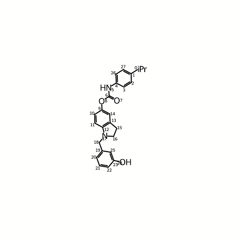 CC(C)c1ccc(NC(=O)Oc2ccc3c(c2)CCN3Cc2cccc(O)c2)cc1